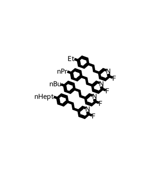 CCCCCCCc1ccc(CCc2ccc(F)nc2)cc1.CCCCc1ccc(CCc2ccc(F)nc2)cc1.CCCc1ccc(CCc2ccc(F)nc2)cc1.CCc1ccc(CCc2ccc(F)nc2)cc1